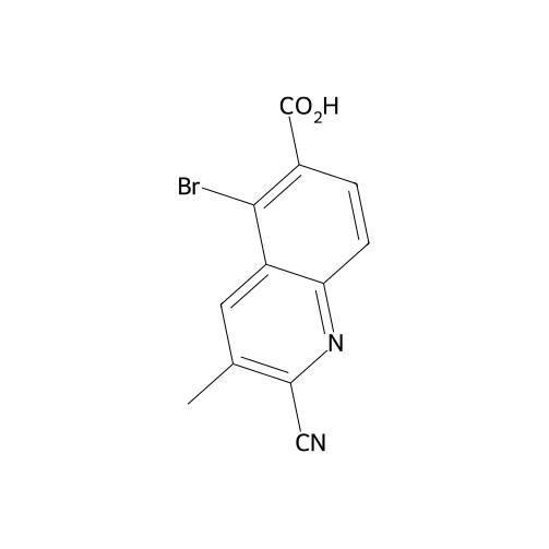 Cc1cc2c(Br)c(C(=O)O)ccc2nc1C#N